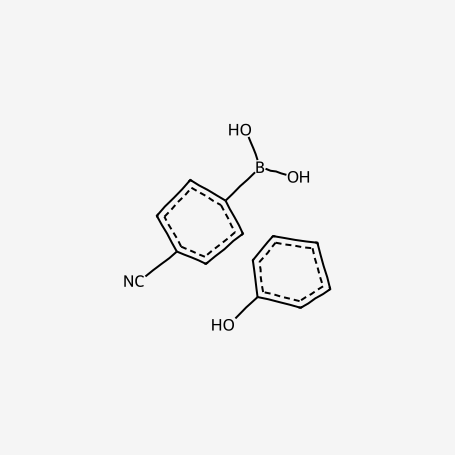 N#Cc1ccc(B(O)O)cc1.Oc1ccccc1